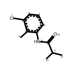 Cc1c(Cl)cccc1NC(=O)C(C)C